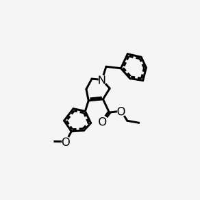 CCOC(=O)C1=C(c2ccc(OC)cc2)CCN(Cc2ccccc2)C1